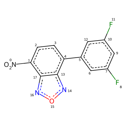 O=[N+]([O-])c1ccc(-c2cc(F)cc(F)c2)c2nonc12